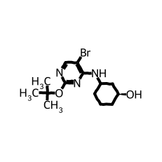 CC(C)(C)Oc1ncc(Br)c(NC2CCC[C@H](O)C2)n1